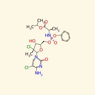 CC(C)OC(=O)[C@@H](C)N[P@](=O)(OC[C@H]1OC(n2cc(Cl)c(N)nc2=O)[C@](C)(Cl)[C@@H]1O)Oc1ccccc1